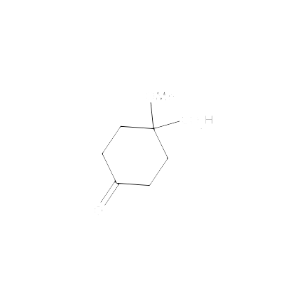 COC1(C(=O)O)CCC(=O)CC1